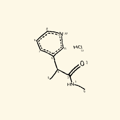 CNC(=O)C(C)c1cccnc1.Cl